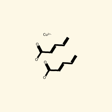 C=CC=CC(=O)[O-].C=CC=CC(=O)[O-].[Cu+2]